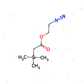 C[Si](C)(C)CC(=O)OCC[N+]#N